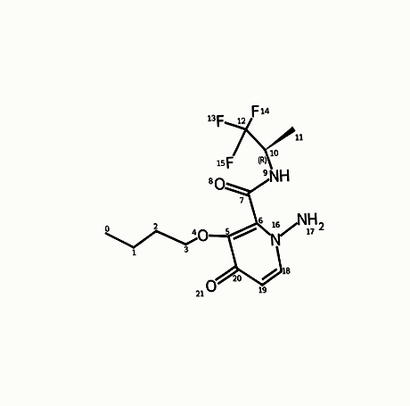 CCCCOc1c(C(=O)N[C@H](C)C(F)(F)F)n(N)ccc1=O